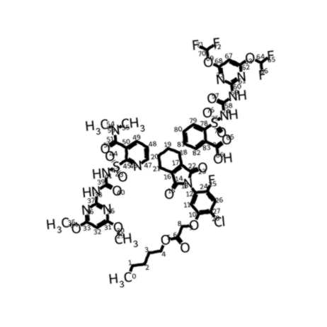 CCCCCOC(=O)COc1cc(N2C(=O)C3=C(CCCC3)C2=O)c(F)cc1Cl.COc1cc(OC)nc(NC(=O)NS(=O)(=O)c2ncccc2C(=O)N(C)C)n1.O=C(Nc1nc(OC(F)F)cc(OC(F)F)n1)NS(=O)(=O)c1ccccc1C(=O)O